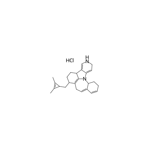 CC1=C(C)C1CC1CCC2C3=CNCC=C3N3C2=C1CC=C1C=CCCC13.Cl